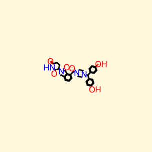 O=C1CCC(N2Cc3cccc(C(=O)N4CCN(C(c5ccc(O)cc5)c5ccc(O)cc5)CC4)c3C2=O)C(=O)N1